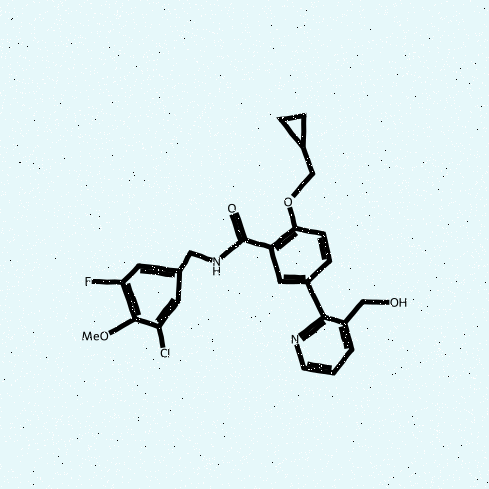 COc1c(F)cc(CNC(=O)c2cc(-c3ncccc3CO)ccc2OCC2CC2)cc1Cl